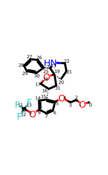 COCCOc1ccc(OC(F)(F)F)cc1[C@@H]1CO[C@]2(CCCN[C@H]2c2ccccc2)C1